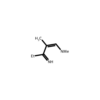 CCC(=N)/C(C)=C\NC